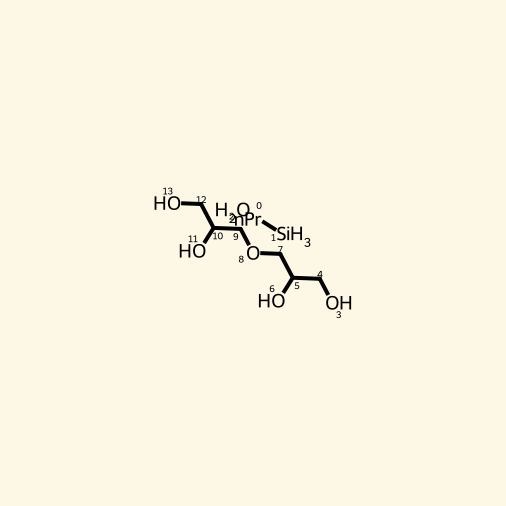 CCC[SiH3].O.OCC(O)COCC(O)CO